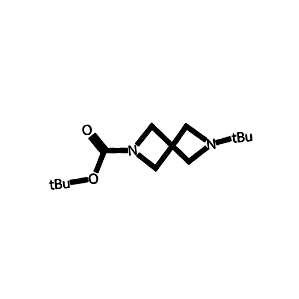 CC(C)(C)OC(=O)N1CC2(C1)CN(C(C)(C)C)C2